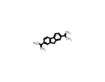 C=C(C)c1ccc2c(c1)[CH]c1cc(C(=C)C)ccc1-2